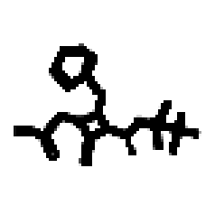 C[C@@H](O[Si](C)(C)C(C)(C)C)C1C(=O)N(CC(=O)O)C1Sc1ccccc1